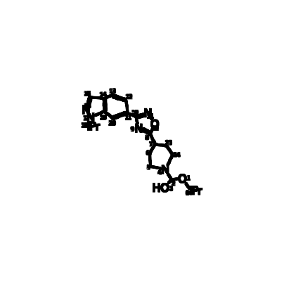 CC(C)OC(O)N1CCC(c2nc(-c3ccc4cnn(C(C)C)c4c3)no2)CC1